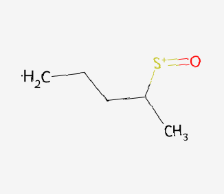 [CH2]CCC(C)[S+]=O